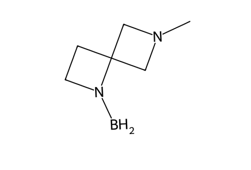 BN1CCC12CN(C)C2